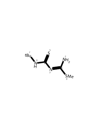 CSC(N)=NC(=S)NC(C)(C)C